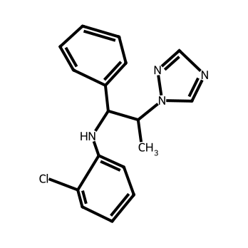 CC(C(Nc1ccccc1Cl)c1ccccc1)n1cncn1